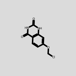 O=c1[nH]c(=O)c2ccc(OCCl)cc2[nH]1